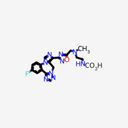 CN(CCNC(=O)O)Cc1nc(-c2ncn3c2Cn2ncnc2-c2cc(F)ccc2-3)no1